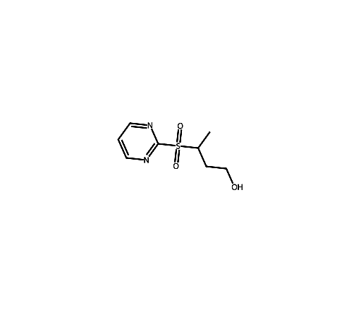 CC(CCO)S(=O)(=O)c1ncccn1